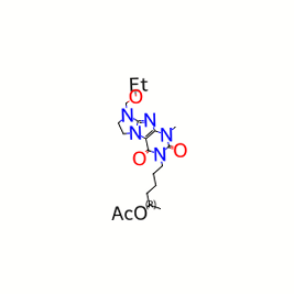 CCOCN1CCn2c1nc1c2c(=O)n(CCCC[C@@H](C)OC(C)=O)c(=O)n1C